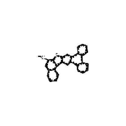 COc1cc2ccccc2c2c1sc1cc3c4ccccc4c4ccccc4c3cc12